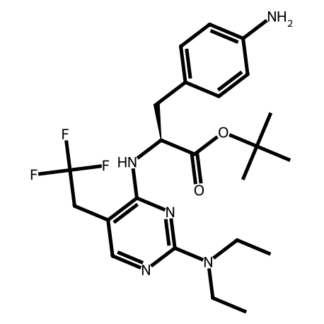 CCN(CC)c1ncc(CC(F)(F)F)c(N[C@@H](Cc2ccc(N)cc2)C(=O)OC(C)(C)C)n1